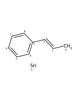 CC=Cc1ccccc1.[Sn]